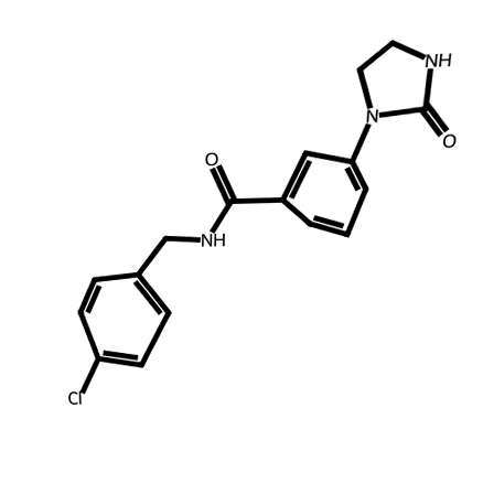 O=C(NCc1ccc(Cl)cc1)c1cccc(N2CCNC2=O)c1